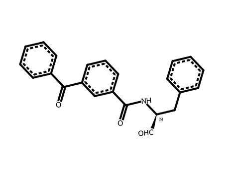 O=C[C@H](Cc1ccccc1)NC(=O)c1cccc(C(=O)c2ccccc2)c1